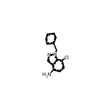 Nc1ccc(Cl)c2c1cnn2Cc1ccccc1